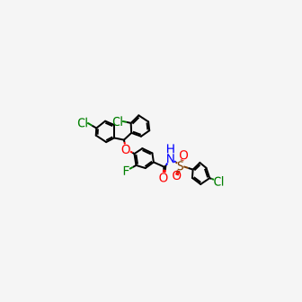 O=C(NS(=O)(=O)c1ccc(Cl)cc1)c1ccc(OC(c2ccc(Cl)cc2)c2ccccc2Cl)c(F)c1